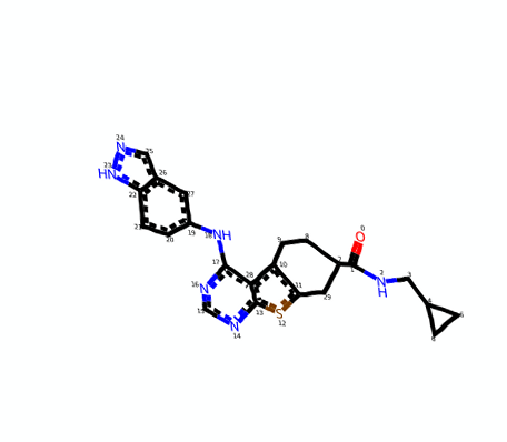 O=C(NCC1CC1)C1CCc2c(sc3ncnc(Nc4ccc5[nH]ncc5c4)c23)C1